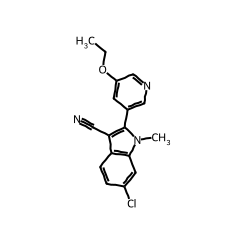 CCOc1cncc(-c2c(C#N)c3ccc(Cl)cc3n2C)c1